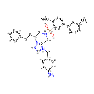 COc1ccc(-c2cccc(C)c2)cc1S(=O)(=O)N(CCCCc1ccccc1)Cc1nncn1Cc1ccc(N)cc1